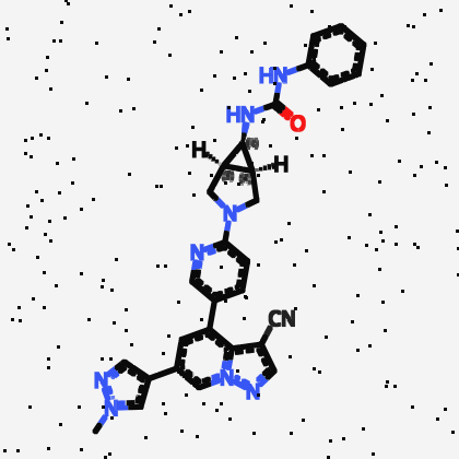 Cn1cc(-c2cc(-c3ccc(N4C[C@@H]5[C@H](C4)[C@@H]5NC(=O)Nc4ccccc4)nc3)c3c(C#N)cnn3c2)cn1